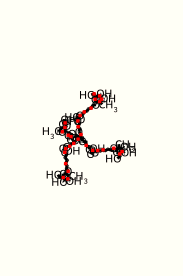 CC1[C@H](OCCCCCCOP(=O)(O)OCCCOCC(COCCCOP(=O)(O)OCCCCCCO[C@@H]2OC(CO)[C@H](O)[C@H](O)C2C)(COCCCOP(=O)(O)OCCCCCCO[C@@H]2OC(CO)[C@H](O)[C@H](O)C2C)COP(=O)(O)OC[C@H]2O[C@@H](C)CC2OP(=O)(O)C(C)C)OC(CO)[C@H](O)[C@@H]1O